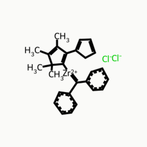 CC1=C(C)C(C)(C)[C]([Zr+2]=[C](c2ccccc2)c2ccccc2)=C1C1=CC=CC1.[Cl-].[Cl-]